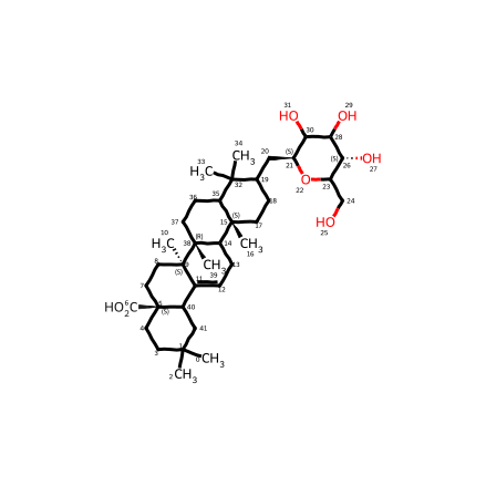 CC1(C)CC[C@]2(C(=O)O)CC[C@]3(C)C(=CCC4[C@@]5(C)CCC(C[C@@H]6OC(CO)[C@@H](O)C(O)C6O)C(C)(C)C5CC[C@]43C)C2C1